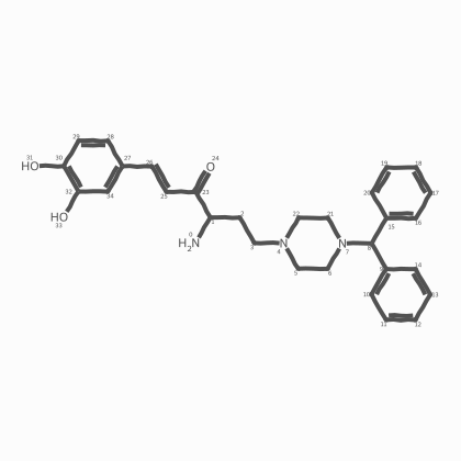 NC(CCN1CCN(C(c2ccccc2)c2ccccc2)CC1)C(=O)C=Cc1ccc(O)c(O)c1